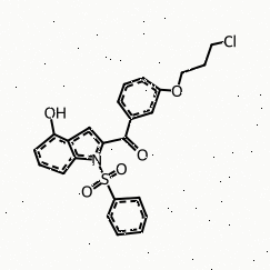 O=C(c1cccc(OCCCCl)c1)c1cc2c(O)cccc2n1S(=O)(=O)c1ccccc1